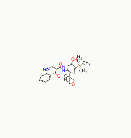 CC1(c2cc(S(C)(C)C)c(O)cc2NC(=O)c2c[nH]c3ccccc3c2=O)COC1